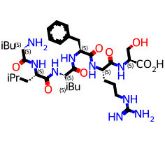 CC[C@H](C)[C@H](N)C(=O)N[C@@H](CC(C)C)C(=O)N[C@H](C(=O)N[C@@H](Cc1ccccc1)C(=O)N[C@@H](CCCNC(=N)N)C(=O)N[C@@H](CO)C(=O)O)[C@@H](C)CC